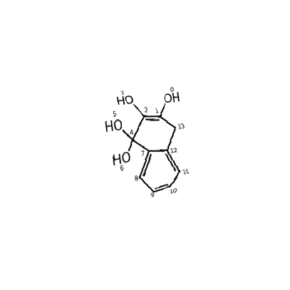 OC1=C(O)C(O)(O)c2ccccc2C1